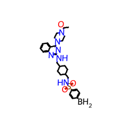 Bc1ccc(S(=O)(=O)NCC2CCC(CNc3nc(N4CCN(C(C)=O)CC4)c4ccccc4n3)CC2)cc1